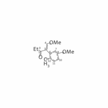 CCC(=O)/C(=C/OC)c1cc(OC)ccc1C